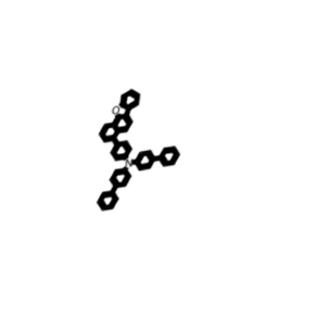 c1ccc(-c2ccc(N(c3ccc(-c4ccccc4)cc3)c3ccc(-c4cccc5c4ccc4c6ccccc6oc54)cc3)cc2)cc1